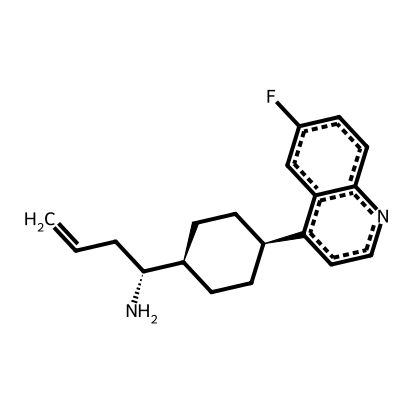 C=CC[C@@H](N)[C@H]1CC[C@@H](c2ccnc3ccc(F)cc32)CC1